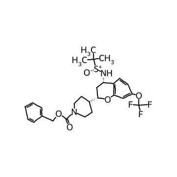 CC(C)(C)[S@+]([O-])N[C@H]1C[C@@H](C2CCN(C(=O)OCc3ccccc3)CC2)Oc2cc(OC(F)(F)F)ccc21